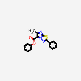 Cc1nc2sc(-c3ccccc3)nn2c1C(=O)Oc1ccccc1